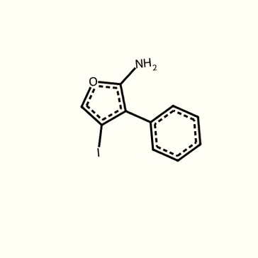 Nc1occ(I)c1-c1ccccc1